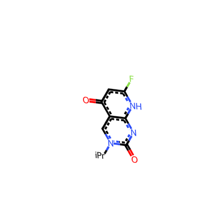 CC(C)n1cc2c(=O)cc(F)[nH]c2nc1=O